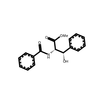 COC(=O)[C@@H](NC(=O)c1ccccc1)[C@@H](O)c1ccccc1